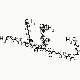 CCCCC/C=C\C/C=C\CCCCCCCC(=O)OCC(COC(=O)CCC(OCCCCCCCC)OCCCCCCCC)COC(=O)OCCN(CC)CC